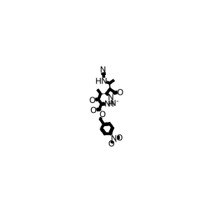 CC(C(=O)C(=[N+]=[N-])C(=O)OCc1ccc([N+](=O)[O-])cc1)[C@H]1NC(=O)[C@@H]1C(C)NC#N